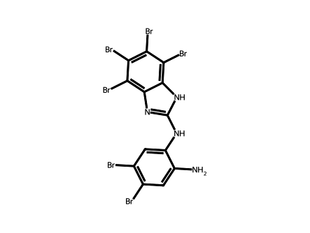 Nc1cc(Br)c(Br)cc1Nc1nc2c(Br)c(Br)c(Br)c(Br)c2[nH]1